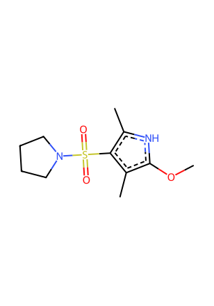 COc1[nH]c(C)c(S(=O)(=O)N2CCCC2)c1C